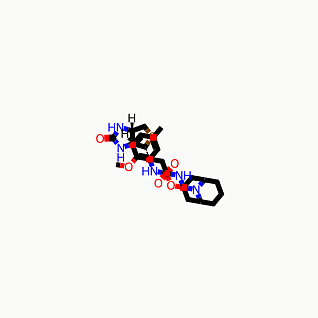 COc1ccc(C)cc1NC(=O)OC1CC2CCCC(C1)N2CNC(=O)CC[C@H]1SC[C@H]2NC(=O)N[C@H]21